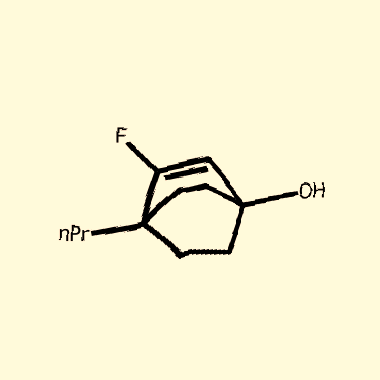 CCCC12CCC(O)(C=C1F)CC2